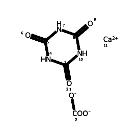 O=C([O-])[O-].O=c1[nH]c(=O)[nH]c(=O)[nH]1.[Ca+2]